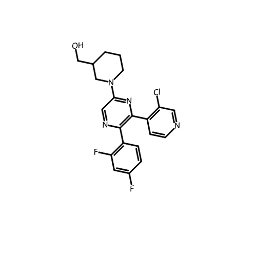 OCC1CCCN(c2cnc(-c3ccc(F)cc3F)c(-c3ccncc3Cl)n2)C1